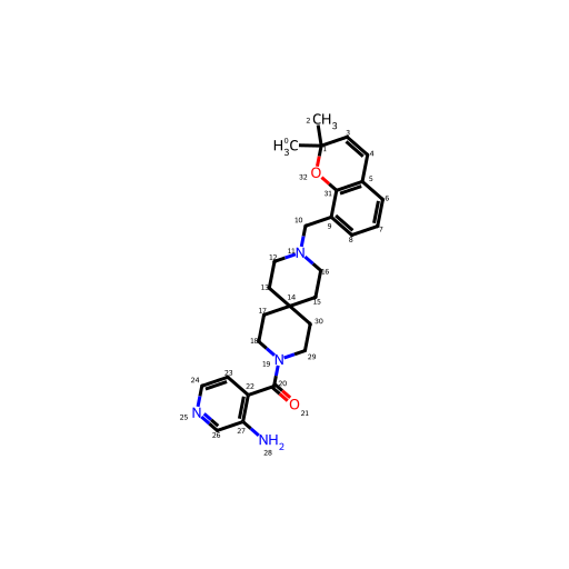 CC1(C)C=Cc2cccc(CN3CCC4(CC3)CCN(C(=O)c3ccncc3N)CC4)c2O1